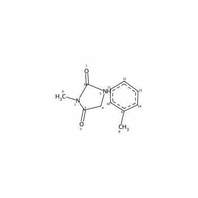 CN1C(=O)CNC1=O.Cc1ccccc1